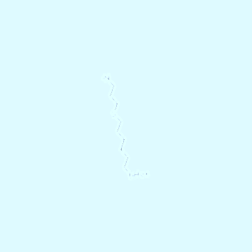 CCCCCCCCCCCCSCCC[N]